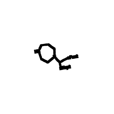 CCCCCCCC(CCCCC)N1CCCNCC1